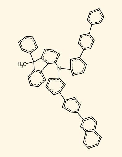 CC1(c2ccccc2)c2ccccc2-c2c(N(c3cccc(-c4ccc(-c5ccccc5)cc4)c3)c3cccc(-c4ccc(-c5ccc6ccccc6c5)cc4)c3)cccc21